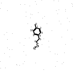 Cc1ccc(CCSI)cc1